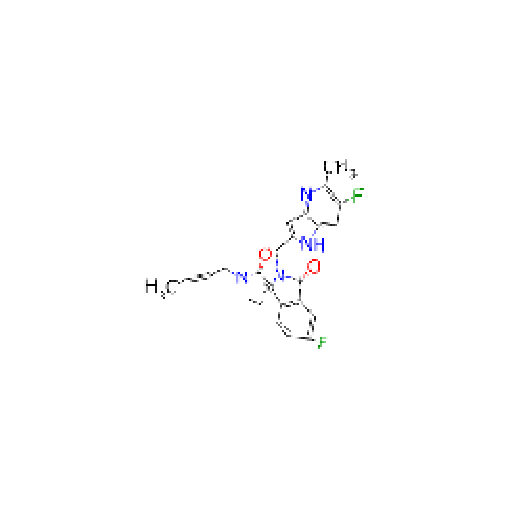 CC#CCN1CC[C@@]2(C1=O)c1ccc(F)cc1C(=O)N2Cc1cc2nc(C)c(F)cc2[nH]1